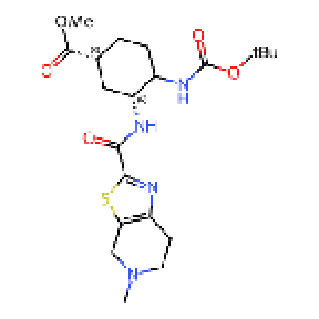 COC(=O)[C@@H]1CCC(NC(=O)OC(C)(C)C)[C@H](NC(=O)c2nc3c(s2)CN(C)CC3)C1